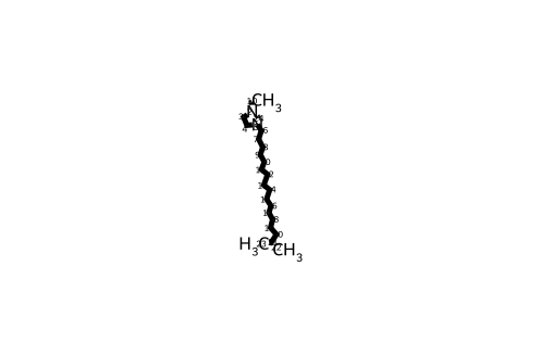 CCN1CCN(CCCCCCCCCCCCCCCC(C)C)C1